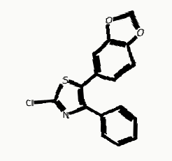 Clc1nc(-c2ccccc2)c(-c2ccc3c(c2)OCO3)s1